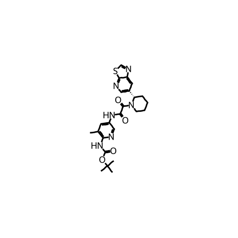 Cc1cc(NC(=O)C(=O)N2CCCC[C@H]2c2cnc3scnc3c2)cnc1NC(=O)OC(C)(C)C